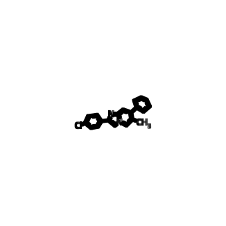 Cc1cn2cc(-c3ccc(Cl)cc3)nc2cc1-c1ccccc1